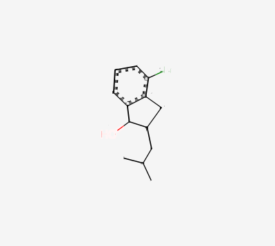 CC(C)CC1Cc2c(Br)cccc2C1O